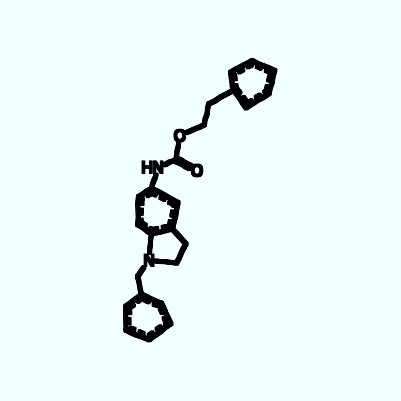 O=C(Nc1ccc2c(c1)CCN2Cc1ccccc1)OCCc1ccccc1